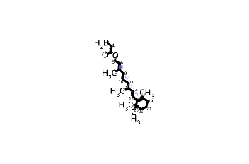 BCC(=O)OC/C=C(C)/C=C/C=C(C)/C=C/C1=C(C)CCCC1(C)C